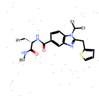 CCC(C)NC(=O)[C@H](CC(C)C)NC(=O)c1ccc2c(c1)nc(Cc1cccs1)n2C(CC)CC